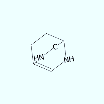 C1=C2CCC(CN2)N1